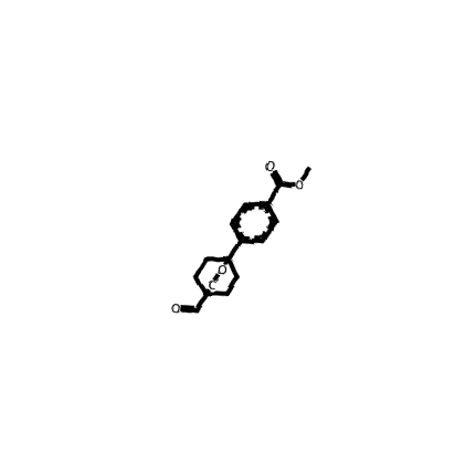 COC(=O)c1ccc(C23CCC(C=O)(CC2)CO3)cc1